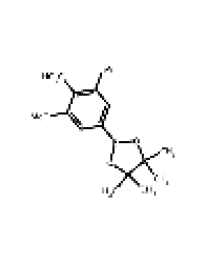 CCCc1cc(B2OC(C)(C)C(C)(C)O2)cc(OC)c1C(=O)O